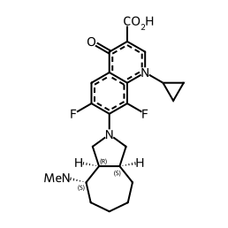 CN[C@H]1CCCC[C@@H]2CN(c3c(F)cc4c(=O)c(C(=O)O)cn(C5CC5)c4c3F)C[C@@H]21